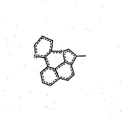 Cc1cn2c3cccnc3c3cccc4ccc1c2c43